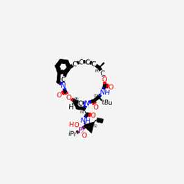 C=C[C@@H]1C[C@]1(NC(=O)[C@@H]1C[C@@H]2CN1C(=O)[C@H](C(C)(C)C)NC(=O)OC[C@H](C)CCCCc1cccc3c1CN(C3)C(=O)O2)P(=O)(O)C(C)C